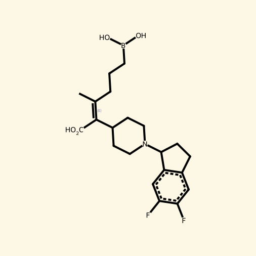 C/C(CCCB(O)O)=C(\C(=O)O)C1CCN(C2CCc3cc(F)c(F)cc32)CC1